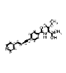 COC(=O)[C@@H](NC(=O)c1ccc(C#CC=Cc2ccncc2)cc1)[C@@H](C)O